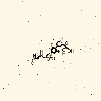 Cc1cc(NC[C@H]2CN(c3cc(F)c(C4=CC(C(=O)[C@@H](O)CO)NCC4)c(F)c3)C(=O)O2)on1